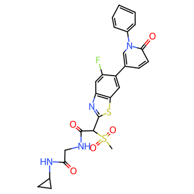 CS(=O)(=O)C(C(=O)NCC(=O)NC1CC1)c1nc2cc(F)c(-c3ccc(=O)n(-c4ccccc4)c3)cc2s1